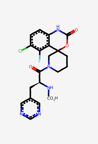 O=C(O)N[C@@H](Cc1cncnc1)C(=O)N1CCCC2(C1)OC(=O)Nc1ccc(Cl)c(F)c12